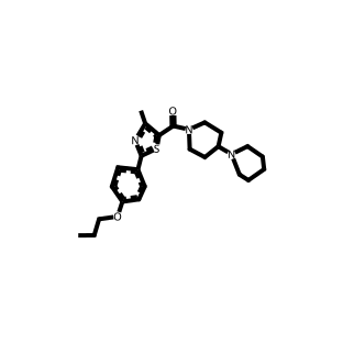 CCCOc1ccc(-c2nc(C)c(C(=O)N3CCC(N4CCCCC4)CC3)s2)cc1